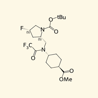 COC(=O)[C@H]1CC[C@H](N(C[C@@H]2C[C@H](F)CN2C(=O)OC(C)(C)C)C(=O)C(F)(F)F)CC1